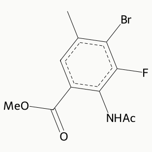 COC(=O)c1cc(C)c(Br)c(F)c1NC(C)=O